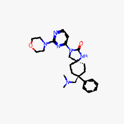 CN(C)C[C@]1(c2ccccc2)CC[C@]2(CC1)CN(c1ccnc(N3CCOCC3)n1)C(=O)N2